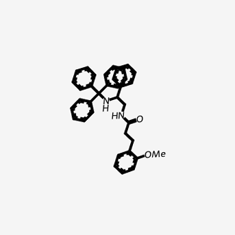 COc1ccccc1CCC(=O)NCC(NC(c1ccccc1)(c1ccccc1)c1ccccc1)c1ccccc1